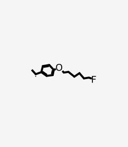 C[CH]c1ccc(OCCCCCCF)cc1